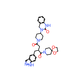 O=C(CC(Cc1ccc2[nH]ncc2c1)C(=O)N1CCC2(CC1)OCCO2)N1CCC(N2Cc3ccccc3NC2=O)CC1